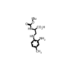 Cc1ccc(NCC(NC(=O)OC(C)(C)C)C(=O)O)c(N)c1